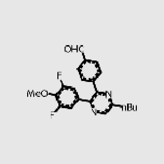 CCCCc1cnc(-c2cc(F)c(OC)c(F)c2)c(-c2ccc(C=O)cc2)n1